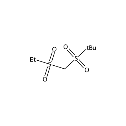 CCS(=O)(=O)CS(=O)(=O)C(C)(C)C